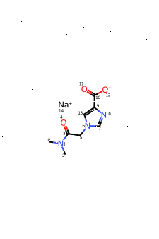 CN(C)C(=O)Cn1cnc(C(=O)[O-])c1.[Na+]